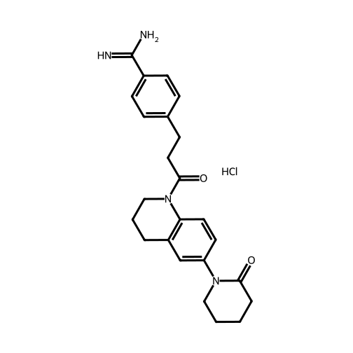 Cl.N=C(N)c1ccc(CCC(=O)N2CCCc3cc(N4CCCCC4=O)ccc32)cc1